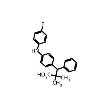 CC(C)(C(=O)O)C(c1ccccc1)c1ccc(Nc2ccc(F)cc2)cc1